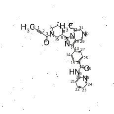 CC#CC(=O)N1CCC[C@@H](c2nc(-c3ccc(C(=O)Nc4ccccn4)cc3)c3cncc(C)n23)C1